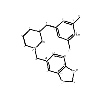 Cc1cc(CC2CCCN(Cc3ccc4c(c3)OCO4)C2)cc(C)n1